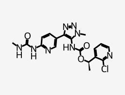 CNC(=O)Nc1ccc(-c2nnn(C)c2NC(=O)O[C@H](C)c2cccnc2Cl)cn1